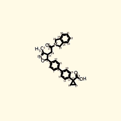 CC1=NOC(c2ccc(-c3ccc(C4(C(=O)O)CC4)cc3)cc2)C1CC(=O)N1Cc2ccccc2C1